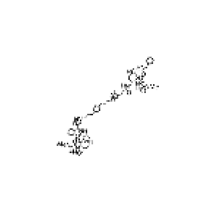 CC[C@H](NC)C(=O)N[C@@H]1C(=O)N2[C@@H](CC[C@@H]1CNC(=O)CCc1cn(CCCCc3ccc(CCCCn4cc([C@@H](NC(=O)[C@@H]5CC[C@@H]6CC[C@H](CO)[C@H](NC(=O)[C@H](CC)NC)C(=O)N65)c5ccccc5)nn4)cc3)nn1)CC[C@H]2C(=O)NCc1ccccc1